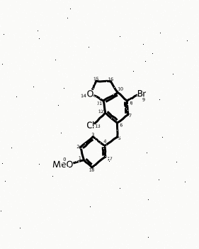 COc1ccc(Cc2cc(Br)c3c(c2Cl)OCC3)cc1